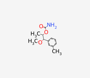 COC(c1cccc(C)c1)C(C)OC(N)=O